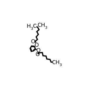 CCCCCCCC(=O)Oc1ccccc1OC(=O)CCCCCC(C)C